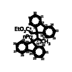 CCCC1(C(C)C2(CC(=O)OCC)c3ccccc3-c3ccccc32)c2ccccc2-c2ccccc21